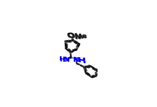 COc1ccc(C(=N)NCc2ccccc2)cc1